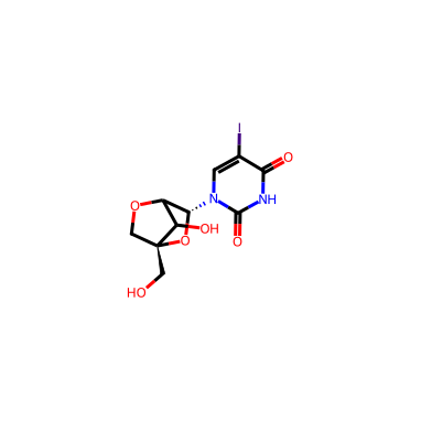 O=c1[nH]c(=O)n([C@@H]2O[C@]3(CO)COC2C3O)cc1I